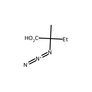 CCC(C)(N=[N+]=[N-])C(=O)O